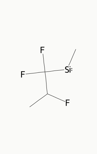 C[Si]C(F)(F)C(C)F